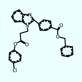 O=C(CCn1c(-c2ccc(C(=O)OCc3ccccc3)cc2)nc2ccccc21)Oc1ccc(Cl)cc1